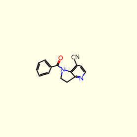 N#Cc1ccnc2c1N(C(=O)c1ccccc1)CC2